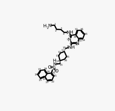 NCCCCNc1nc(NC[C@H]2CC[C@H](CNS(=O)(=O)c3cccc4ccccc34)CC2)nc2ccccc12